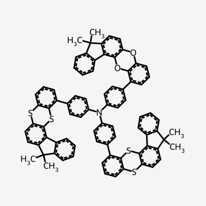 CC1(C)c2ccccc2-c2c1ccc1c2Oc2c(cccc2-c2ccc(N(c3ccc(-c4cccc5c4Sc4c(ccc6c4-c4ccccc4C6(C)C)S5)cc3)c3ccc(-c4cccc5c4Sc4c(ccc6c4-c4ccccc4C6(C)C)S5)cc3)cc2)O1